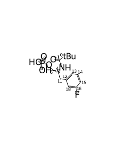 CC(C)(C)C(=O)N[C@H](COP(=O)(O)O)Cc1cccc(F)c1